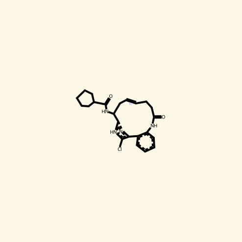 O=C1CC/C=C/CC(NC(=O)C2CCCCC2)c2nc(c(Cl)[nH]2)-c2ccccc2N1